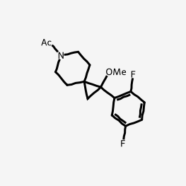 COC1(c2cc(F)ccc2F)CC12CCN(C(C)=O)CC2